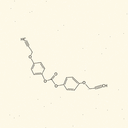 C#CCOc1ccc(OC(=O)Oc2ccc(OCC#C)cc2)cc1